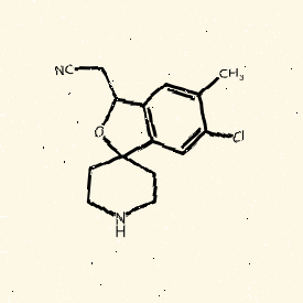 Cc1cc2c(cc1Cl)C1(CCNCC1)OC2CC#N